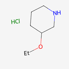 CCOC1CCCNC1.Cl